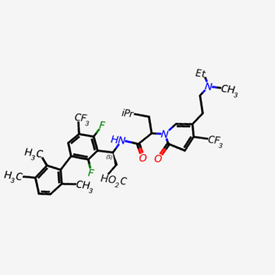 CCN(C)CCc1cn(C(CC(C)C)C(=O)N[C@@H](CC(=O)O)c2c(F)c(-c3c(C)ccc(C)c3C)cc(C(F)(F)F)c2F)c(=O)cc1C(F)(F)F